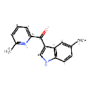 COc1ccc2[nH]cc(C(=O)c3cccc(C)n3)c2c1